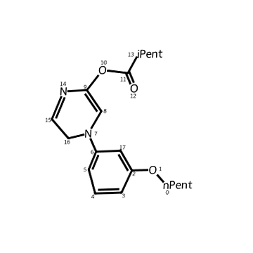 CCCCCOc1cccc(N2C=C(OC(=O)C(C)CCC)N=CC2)c1